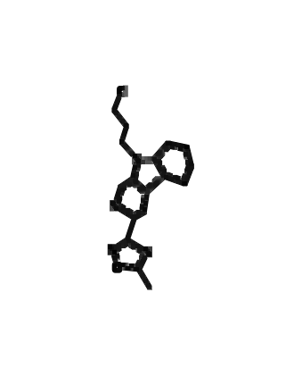 Cc1nc(-c2cc3c4ccccc4n(CCCCl)c3cn2)no1